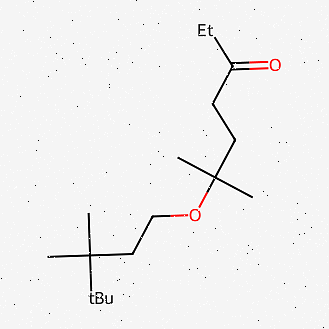 CCC(=O)CCC(C)(C)OCCC(C)(C)C(C)(C)C